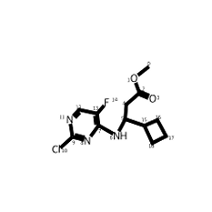 COC(=O)CC(Nc1nc(Cl)ncc1F)C1CCC1